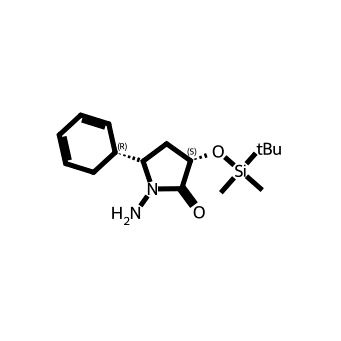 CC(C)(C)[Si](C)(C)O[C@H]1CC([C@H]2C=CC=CC2)N(N)C1=O